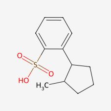 CC1CCCC1c1ccccc1S(=O)(=O)O